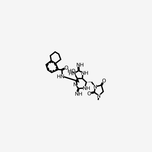 CN1CC(=O)N(C[C@@H]2NC(=N)N3CC(NC(=O)c4cccc5c4CCCC5)[C@@H](O)C34NC(=N)NC24)C1=O